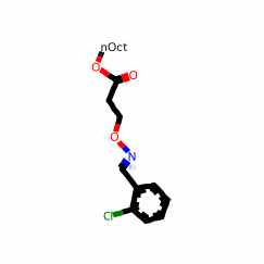 CCCCCCCCOC(=O)CCO/N=C/c1c[c]ccc1Cl